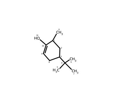 CC1CC(C(C)(C)C)CC=C1O